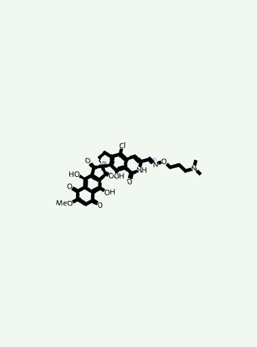 COC1=CC(=O)c2c(O)c3c(c(O)c2C1=O)C(=O)[C@]1(CCc2c1c(O)c1c(=O)[nH]c(/C=N/OCCCN(C)C)cc1c2Cl)C3=O